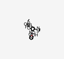 CCOC(=O)C(F)(F)Oc1c(Cl)cc(-c2nccs2)c2oc(N3CC4CC(C3)N4C(=O)O)nc12